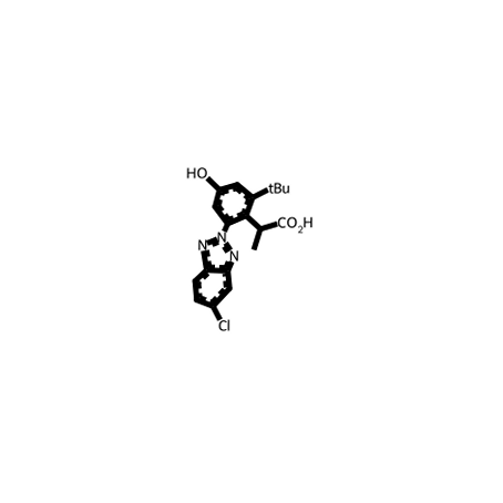 CC(C(=O)O)c1c(-n2nc3ccc(Cl)cc3n2)cc(O)cc1C(C)(C)C